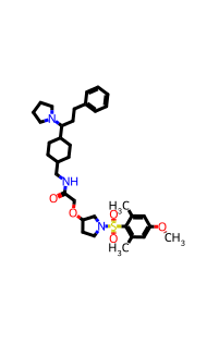 COc1cc(C)c(S(=O)(=O)N2CCC(OCC(=O)NCC3CCC(C(CCc4ccccc4)N4CCCC4)CC3)C2)c(C)c1